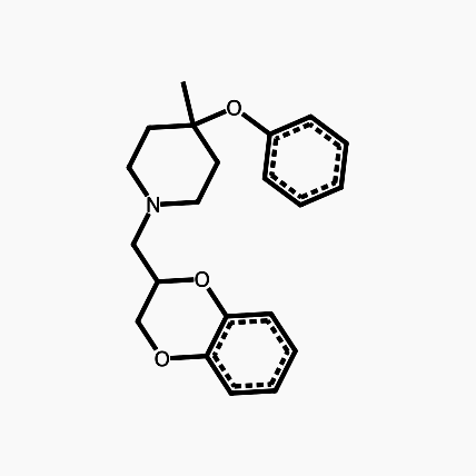 CC1(Oc2ccccc2)CCN(CC2COc3ccccc3O2)CC1